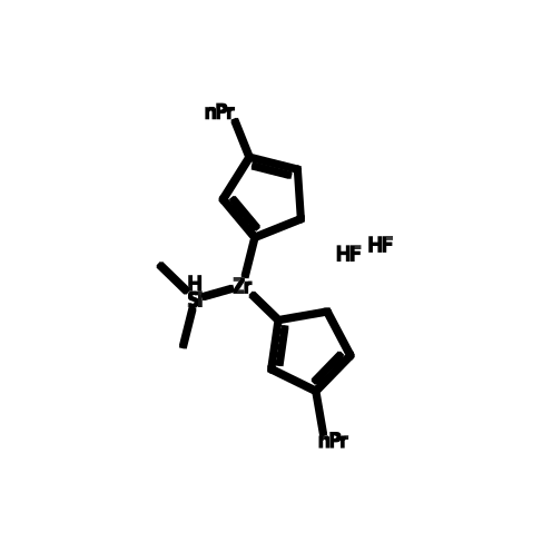 CCCC1=CC[C]([Zr]([C]2=CC(CCC)=CC2)[SiH](C)C)=C1.F.F